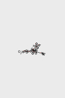 Cc1ccc(C(NCCCC[C@H](NC(=O)[C@H](Cc2ccccc2)NC(=O)CCCCCCN=[N+]=[N-])C(=O)Nc2ccc(COC(=O)Oc3ccc([N+](=O)[O-])cc3)cc2)(c2ccccc2)c2ccccc2)cc1